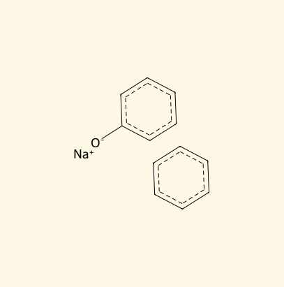 [Na+].[O-]c1ccccc1.c1ccccc1